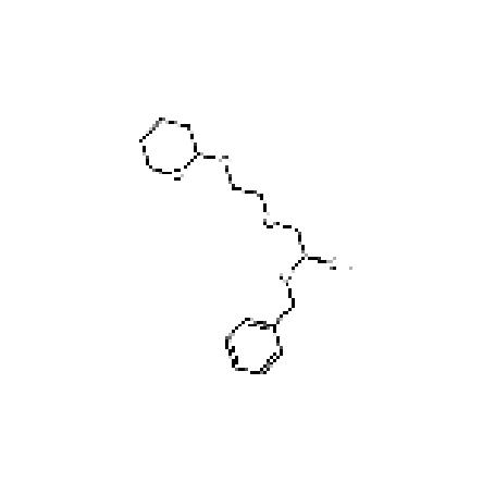 C[C@H](COCCOC1CCCCO1)OCc1ccccc1